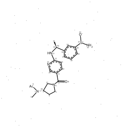 CC(=O)N(C)[C@H]1CCN(C(=O)c2ccc(N[C@@H](C)c3cccc([S+](N)[O-])c3)nc2)C1